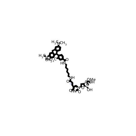 COP(=O)(O)O[C@@H]1C[C@H](n2cc(/C=C/C(=O)NCCCCCCNC(=O)c3ccc(C4c5ccc(N(C)C)cc5Cc5cc(N(C)C)ccc54)c(C(=O)O)c3)c(=O)[nH]c2=O)O[C@@H]1CO